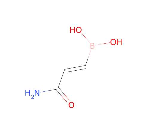 NC(=O)C=CB(O)O